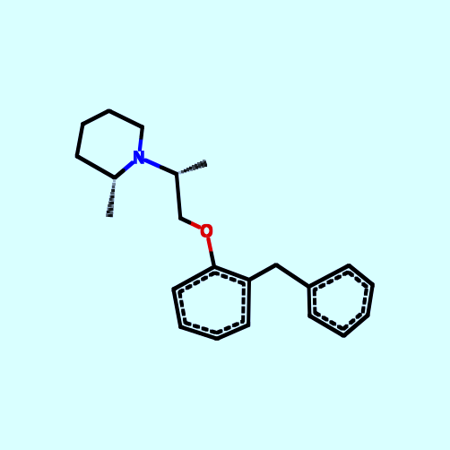 C[C@@H]1CCCCN1[C@H](C)COc1ccccc1Cc1ccccc1